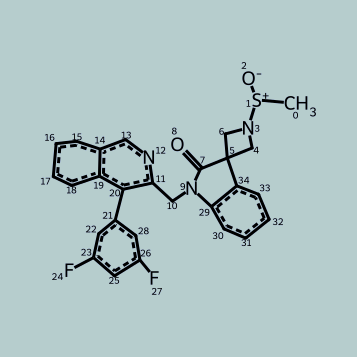 C[S+]([O-])N1CC2(C1)C(=O)N(Cc1ncc3ccccc3c1-c1cc(F)cc(F)c1)c1ccccc12